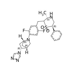 C[C@@H]1NC[C@@H](c2ccccc2)S(=O)(=O)C1Cc1cc(F)c(N2C[C@H]3C[C@@H]2C[C@H]3n2cnnc2)cc1F